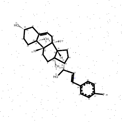 C[C@]12CC[C@H]3[C@@H](CC=C4C[C@@H](O)CC[C@@]43C)[C@@H]1CC[C@@H]2C(O)/C=C/c1ccc(F)cc1